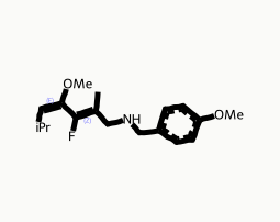 COC(=C/C(C)C)/C(F)=C(\C)CNCc1ccc(OC)cc1